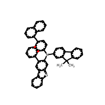 CC1(C)c2ccccc2-c2ccc(N(c3ccc(-c4cccc5ccccc45)cc3)c3cc4sc5ccccc5c4cc3-c3ccccc3)cc21